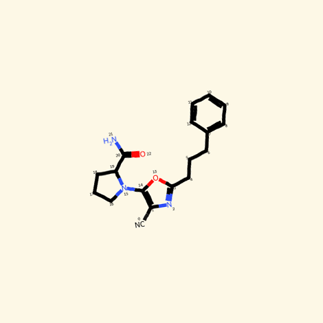 N#Cc1nc(CCCc2ccccc2)oc1N1CCCC1C(N)=O